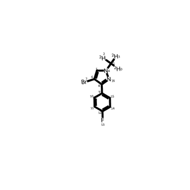 [2H]C([2H])([2H])n1cc(Br)c(-c2ccc(F)cc2)n1